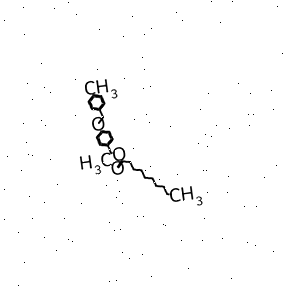 CCCCCCCCCC(=O)OC(C)c1ccc(OCc2ccc(C)cc2)cc1